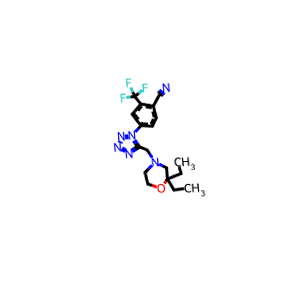 CCC1(CC)CN(Cc2nnnn2-c2ccc(C#N)c(C(F)(F)F)c2)CCO1